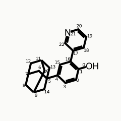 Oc1ccc(C23CC4CC(CC(C4)C2)C3)cc1-c1cccnc1